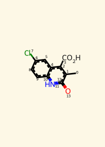 Cc1c(C(=O)O)c2cc(Cl)ccc2[nH]c1=O